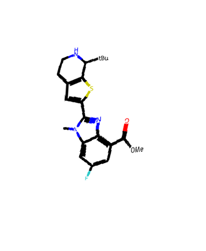 COC(=O)c1cc(F)cc2c1nc(-c1cc3c(s1)C(C(C)(C)C)NCC3)n2C